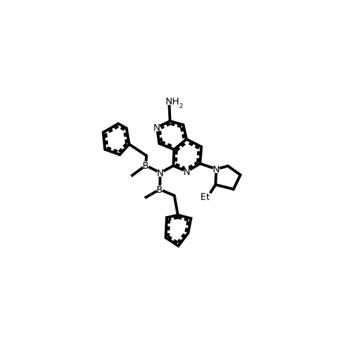 CCC1CCCN1c1cc2cc(N)ncc2c(N(B(C)Cc2ccccc2)B(C)Cc2ccccc2)n1